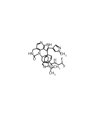 CC(C)n1ncc2cc(-c3c(-c4cnn(C)c4)[nH]c4ncc5c(c34)N(C3CCN(C(=O)NCC(F)F)CC3)C(=O)NC5)ccc21